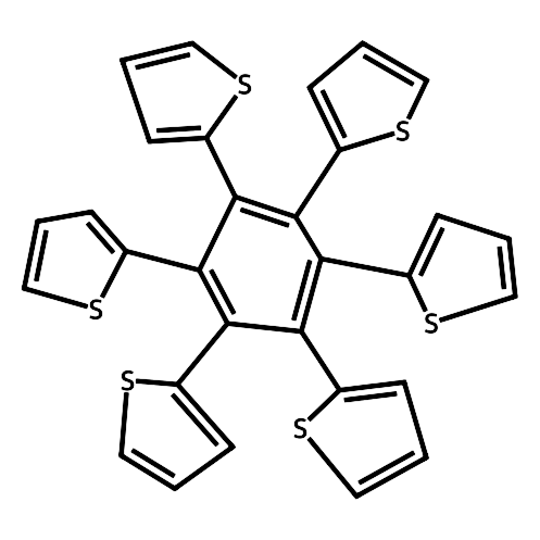 c1csc(-c2c(-c3cccs3)c(-c3cccs3)c(-c3cccs3)c(-c3cccs3)c2-c2cccs2)c1